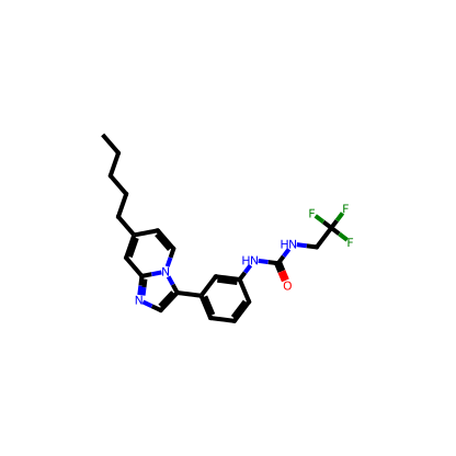 CCCCCc1ccn2c(-c3cccc(NC(=O)NCC(F)(F)F)c3)cnc2c1